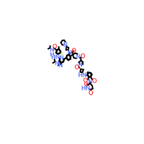 Cc1cc(F)c(Nc2nc(-c3ccc4c(c3)N([C@H]3C[C@@H](N5CCCCC5)C3)C(=O)C43CCN(C(=O)C4CCN(C(=O)[C@H]5C[C@@H](Nc6cccc7c6C(=O)N(C6CCC(=O)NC6=O)C7=O)C5)C4)CC3)cc3ncn(C(C)C)c23)cc1C(=O)NC(C)C